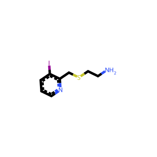 NCCSCc1ncccc1I